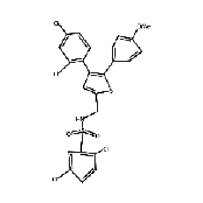 COc1ccc(-c2sc(CNS(=O)(=O)c3cc(Cl)ccc3Cl)cc2-c2ccc(Cl)cc2Cl)cc1